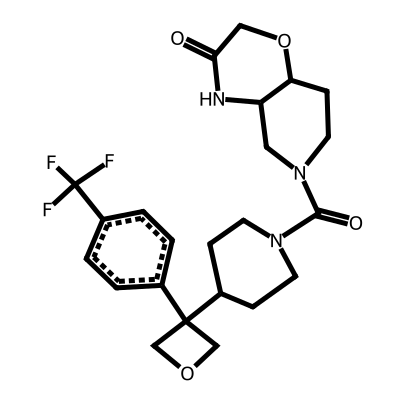 O=C1COC2CCN(C(=O)N3CCC(C4(c5ccc(C(F)(F)F)cc5)COC4)CC3)CC2N1